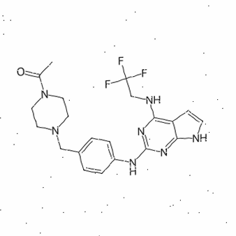 CC(=O)N1CCN(Cc2ccc(Nc3nc(NCC(F)(F)F)c4cc[nH]c4n3)cc2)CC1